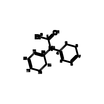 CCC(=O)N(C1=CC=CCC1)C1=CC=CCC1